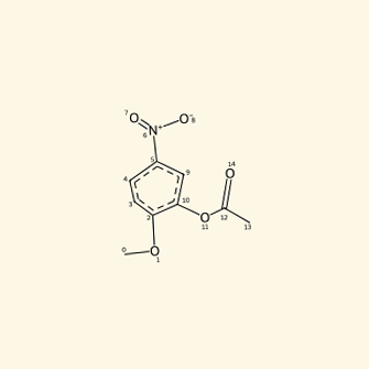 COc1ccc([N+](=O)[O-])cc1OC(C)=O